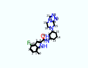 Cc1ccc(F)c2cc(C(=O)N[C@@H]3CCC[C@H](N4CCn5cnnc5C4)C3)[nH]c12